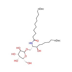 CCCCCCCCCCCCCCCCCCCC(=O)N[C@@H](CO[C@H]1O[C@H](CO)[C@H](O)[C@H](O)[C@H]1O)[C@H](O)CCCCCCCCCCCCCCC